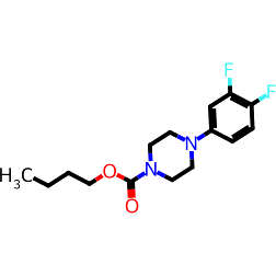 CCCCOC(=O)N1CCN(c2ccc(F)c(F)c2)CC1